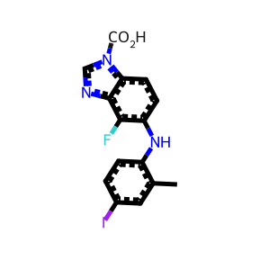 Cc1cc(I)ccc1Nc1ccc2c(ncn2C(=O)O)c1F